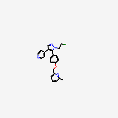 Cc1cccc(COc2ccc(-c3c(-c4ccncc4)cnn3CCF)cc2)n1